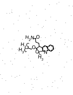 Cc1nc2ccccc2cc1C(CCC(N)=O)C(=O)OCC(C)C